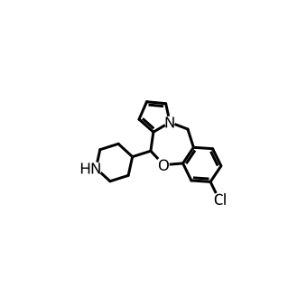 Clc1ccc2c(c1)OC(C1CCNCC1)c1cccn1C2